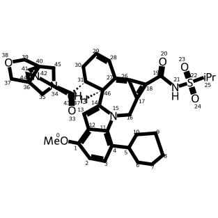 COc1ccc(C2CCCCC2)c2c1cc1n2CC2=C(C(=O)NS(=O)(=O)C(C)C)C2=C2C=CC[C@@H](C(=O)N3CC45COCC4(CN(C)C5)C3)[C@@H]21